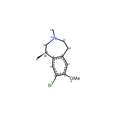 COc1cc2c(cc1Br)[C@@H](C)CN(C)CC2